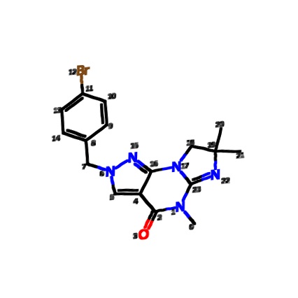 CN1C(=O)c2cn(Cc3ccc(Br)cc3)nc2N2CC(C)(C)N=C12